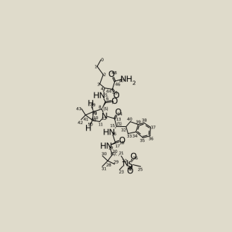 CCCCC(NC(=O)[C@@H]1[C@@H]2[C@H](CN1C(=O)[C@@H](NC(=O)N[C@H](CN(C)S(C)(=O)=O)C(C)(C)C)C1Cc3ccccc3C1)C2(C)C)C(=O)C(N)=O